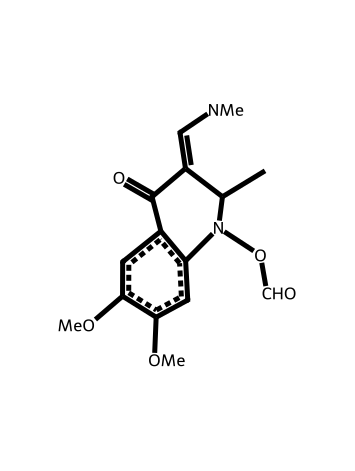 CNC=C1C(=O)c2cc(OC)c(OC)cc2N(OC=O)C1C